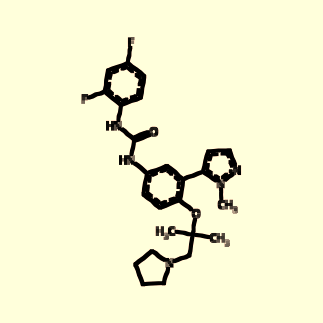 Cn1nccc1-c1cc(NC(=O)Nc2ccc(F)cc2F)ccc1OC(C)(C)CN1CCCC1